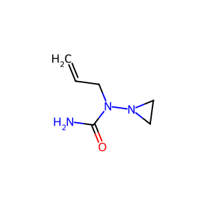 C=CCN(C(N)=O)N1CC1